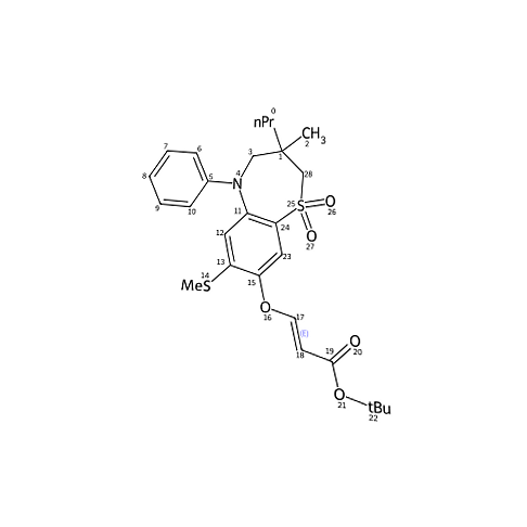 CCCC1(C)CN(c2ccccc2)c2cc(SC)c(O/C=C/C(=O)OC(C)(C)C)cc2S(=O)(=O)C1